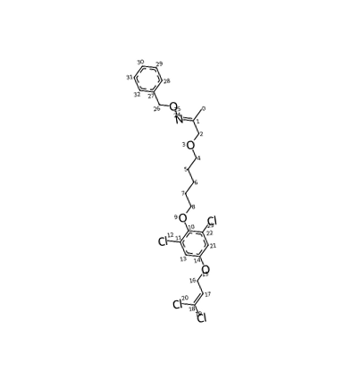 CC(COCCCCCOc1c(Cl)cc(OCC=C(Cl)Cl)cc1Cl)=NOCc1ccccc1